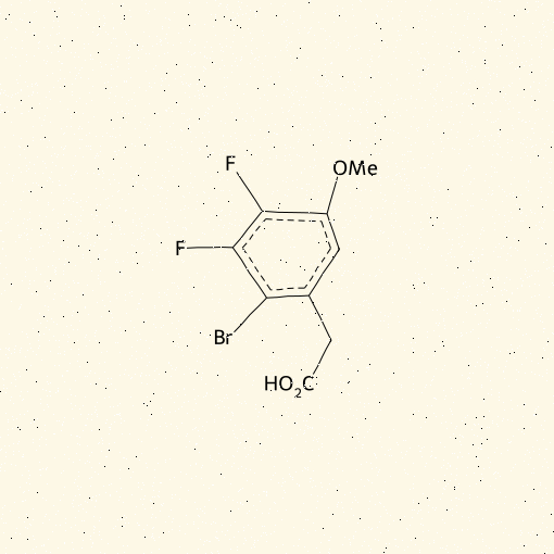 COc1cc(CC(=O)O)c(Br)c(F)c1F